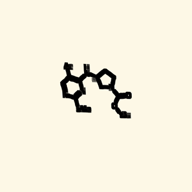 CSc1ncc(C(C)=O)c(N[C@H]2CCN(C(=O)OC(C)(C)C)C2)n1